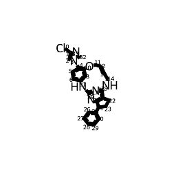 Clc1cn(-c2ccc3cc2OC/C=C/CNc2nc(nc4c2CCC4c2ccccc2)N3)cn1